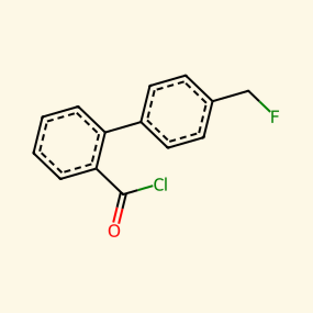 O=C(Cl)c1ccccc1-c1ccc(CF)cc1